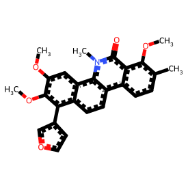 COc1cc2c(ccc3c4ccc(C)c(OC)c4c(=O)n(C)c23)c(-c2ccoc2)c1OC